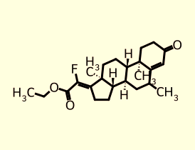 CCOC(=O)C(F)=C1CC[C@H]2[C@@H]3CC(C)C4=CC(=O)CC[C@]4(C)[C@H]3CC[C@]12C